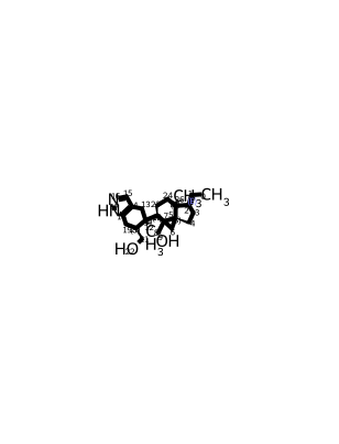 C/C=C1\CC[C@@]23CC2(CO)[C@@H]([C@@]2(C)Cc4cn[nH]c4C[C@@H]2CO)CC[C@]13C